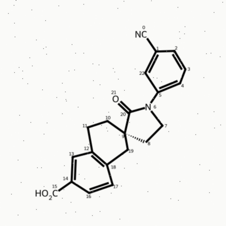 N#Cc1cccc(N2CC[C@]3(CCc4cc(C(=O)O)ccc4C3)C2=O)c1